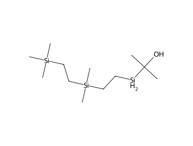 CC(C)(O)[SiH2]CC[Si](C)(C)CC[Si](C)(C)C